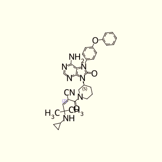 CC(C)(/C=C(/C#N)C(=O)N1CCC[C@H](n2c(=O)n(-c3ccc(Oc4ccccc4)cc3)c3c(N)ncnc32)C1)NC1CC1